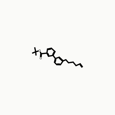 C=CCCCCc1cccc(-c2cccc(C(=O)OC(C)(C)C)c2)c1